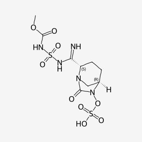 COC(=O)NS(=O)(=O)NC(=N)[C@@H]1CC[C@@H]2CN1C(=O)N2OS(=O)(=O)O